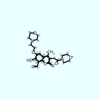 Cc1c(CC(=O)N2CCOCC2)c(=O)oc2c(C=O)c(O)c(OCCN3CCOCC3)cc12